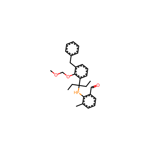 CCC(CC)(Pc1c(C)cccc1C=O)c1cccc(Cc2ccccc2)c1OCOC